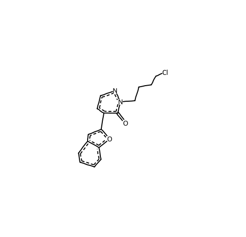 O=c1c(-c2cc3ccccc3o2)ccnn1CCCCCl